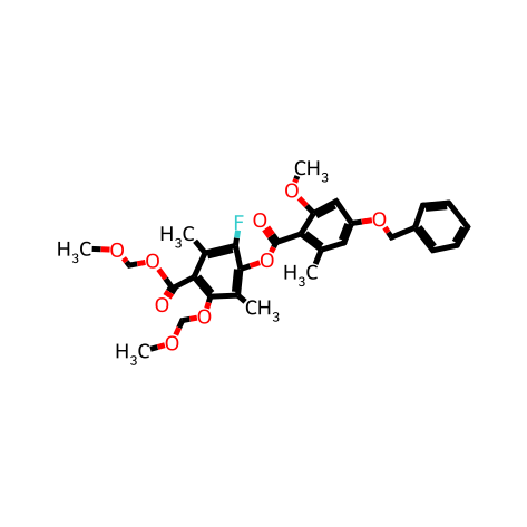 COCOC(=O)c1c(C)c(F)c(OC(=O)c2c(C)cc(OCc3ccccc3)cc2OC)c(C)c1OCOC